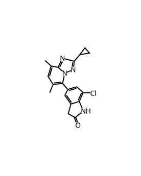 Cc1cc(C)c2nc(C3CC3)nn2c1-c1cc(Cl)c2c(c1)CC(=O)N2